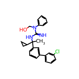 CC(NC(=N)N(CO)c1ccccc1)(c1cccc(-c2cccc(Cl)c2)c1)C1CC1